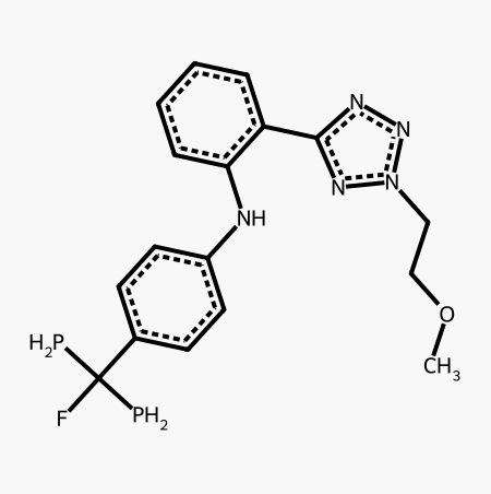 COCCn1nnc(-c2ccccc2Nc2ccc(C(F)(P)P)cc2)n1